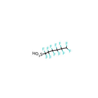 O=S(=O)(O)C(F)(F)C(F)(F)C(F)(F)C(F)(F)C(F)(F)C(F)F